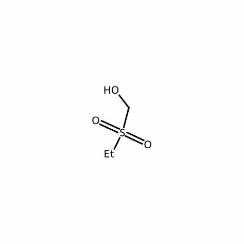 CCS(=O)(=O)CO